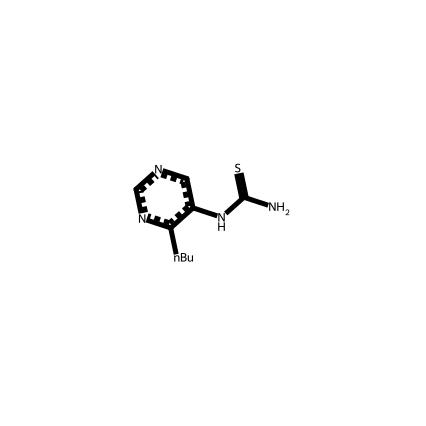 CCCCc1ncncc1NC(N)=S